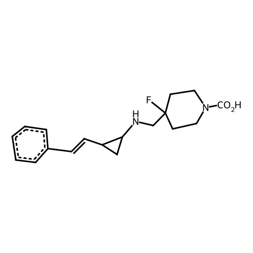 O=C(O)N1CCC(F)(CNC2CC2/C=C/c2ccccc2)CC1